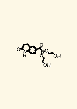 O=C1CCc2cc(C(=O)N(OCCO)OCCO)ccc2N1